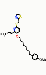 COc1ccc(CCCCCCCCOc2ccc(SCc3nccs3)nc2C=CC(=O)O)cc1